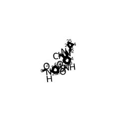 CC(=O)Nc1ccc(S(=O)(=O)Nc2ccc3c(c2)c(Cl)nn3CC2CCC2)cc1